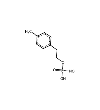 Cc1ccc(CCOP(=O)(O)N=O)cc1